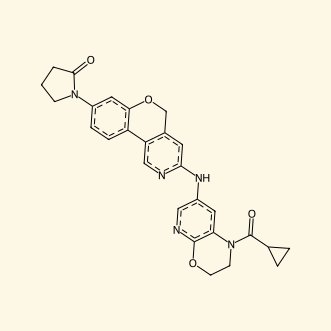 O=C1CCCN1c1ccc2c(c1)OCc1cc(Nc3cnc4c(c3)N(C(=O)C3CC3)CCO4)ncc1-2